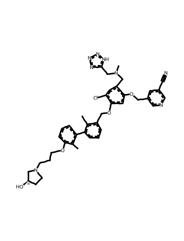 Cc1c(COc2cc(OCc3cncc(C#N)c3)c(CN(C)Cc3nnn[nH]3)cc2Cl)cccc1-c1cccc(OCCCN2CC[C@@H](O)C2)c1C